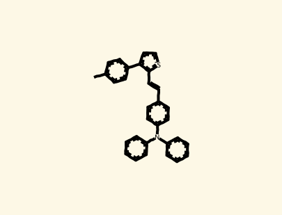 Cc1ccc(-c2ccsc2/C=C/c2ccc(N(c3ccccc3)c3ccccc3)cc2)cc1